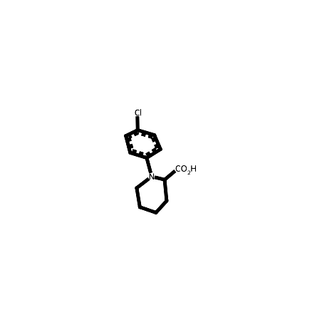 O=C(O)C1CCCCN1c1ccc(Cl)cc1